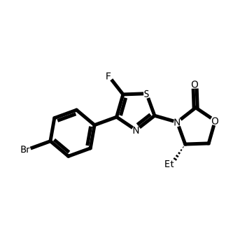 CC[C@H]1COC(=O)N1c1nc(-c2ccc(Br)cc2)c(F)s1